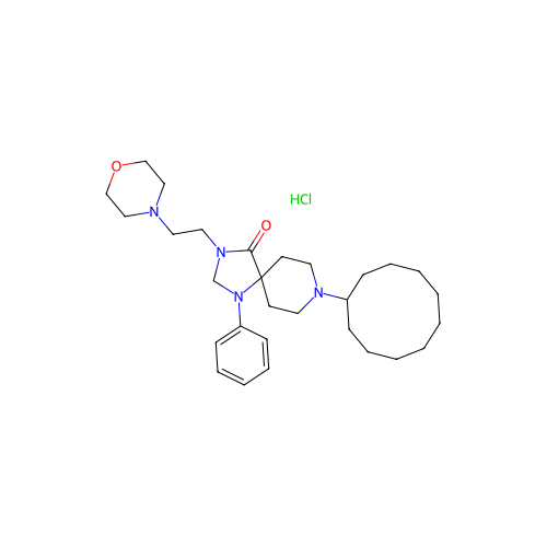 Cl.O=C1N(CCN2CCOCC2)CN(c2ccccc2)C12CCN(C1CCCCCCCCC1)CC2